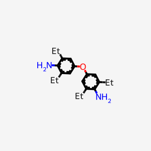 CCc1cc(Oc2cc(CC)c(N)c(CC)c2)cc(CC)c1N